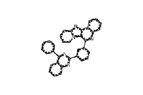 c1ccc(-c2nc(-c3cccc(-c4nc5ccccc5c5nc6ccccn6c45)c3)nc3ccccc23)cc1